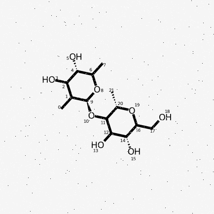 CC1C(O)[C@H](O)C(C)O[C@H]1OC1C(O)[C@@H](O)C(CO)O[C@H]1C